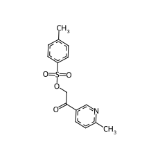 Cc1ccc(S(=O)(=O)OCC(=O)c2ccc(C)nc2)cc1